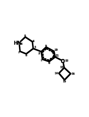 c1cc(C2CCNCC2)ccc1OC1CCC1